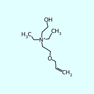 C=CCOCC[N+](CC)(CC)CCO